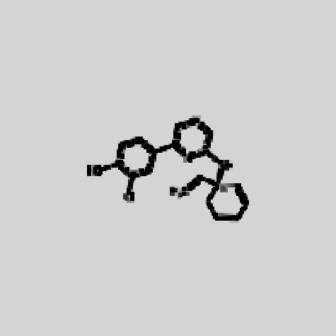 C=C[C@]1(Nc2cncc(-c3ccc(O)c(Cl)c3)n2)C=CC=CC1